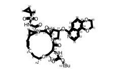 CC[C@@H]1O[C@H](C)CC/C=C\C2C[C@@]2(C(=O)NS(=O)(=O)C2(C)CC2)NC(=O)[C@@H]2C[C@@H](Oc3nccc4c5c(ccc34)OCCO5)CN2C(=O)[C@H]1NC(=O)OC(C)(C)C